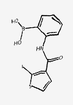 O=C(Nc1ccccc1B(O)O)c1ccsc1I